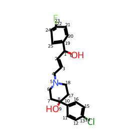 OC(C=CCN1CCC(O)(c2ccc(Cl)cc2)CC1)c1ccc(F)cc1